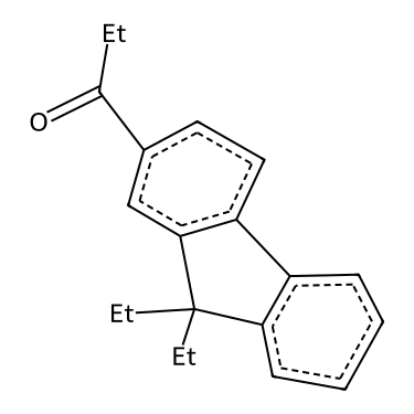 CCC(=O)c1ccc2c(c1)C(CC)(CC)c1ccccc1-2